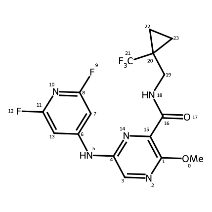 COc1ncc(Nc2cc(F)nc(F)c2)nc1C(=O)NCC1(C(F)(F)F)CC1